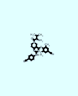 Cc1cc(C#N)cc(C)c1Oc1nc(Nc2ccc(C#N)cc2)nc2c1CN(C(=O)C(N)C(C)C)CC2